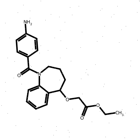 CCOC(=O)COC1CCCN(C(=O)c2ccc(N)cc2)c2ccccc21